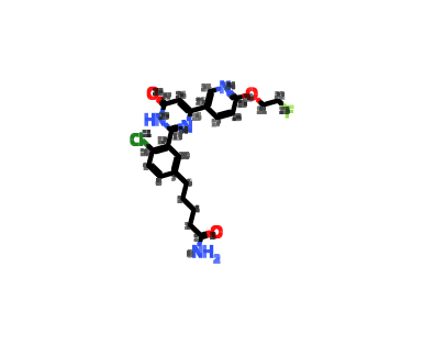 NC(=O)CCCCc1ccc(Cl)c(-c2nc(-c3ccc(OCCF)nc3)cc(=O)[nH]2)c1